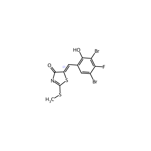 CSC1=NC(=O)/C(=C/c2cc(Br)c(F)c(Br)c2O)S1